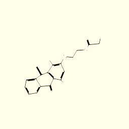 O=C(CCl)NCCNc1cc(O)c2c(c1O)C(=O)c1ccccc1C2=O